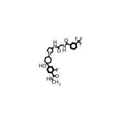 CNC(=O)c1ccc(C2(O)CCC(N3CC[C@@H](NC(=O)CNC(=O)c4cccc(C(F)(F)F)c4)C3)CC2)cc1F